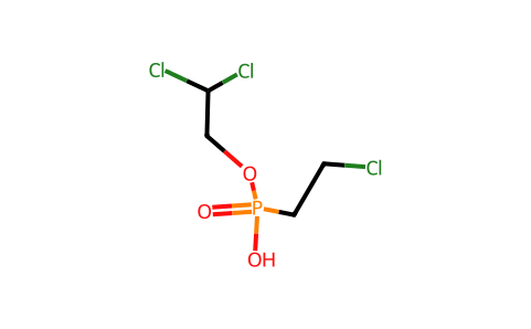 O=P(O)(CCCl)OCC(Cl)Cl